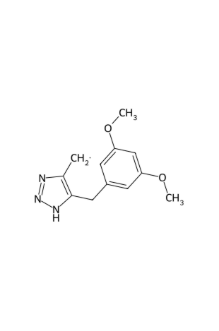 [CH2]c1nn[nH]c1Cc1cc(OC)cc(OC)c1